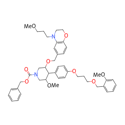 COCCCN1CCOc2ccc(COC3CN(C(=O)OCc4ccccc4)CC(OC)C3c3ccc(OCCCOCc4ccccc4OC)cc3)cc21